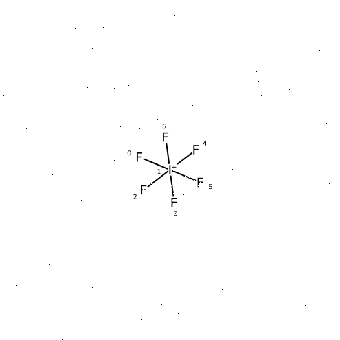 F[I+](F)(F)(F)(F)F